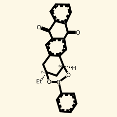 CC[C@]12Cc3cc4c(cc3[C@H](C1)OB(c1ccccc1)O2)C(=O)c1ccccc1C4=O